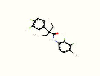 COCC(COC)(C(=O)Nc1ccc(C#N)c(Cl)c1F)c1ccc(F)c(F)c1